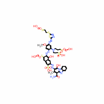 COc1cc(N=Nc2c(SOOO)cc3cc(S(=O)(=O)O)c(N=Nc4c(C)c(C(N)=O)c5nc6ccccc6n5c4O)cc3c2O)c(N(CCCSOOO)CCCS(=O)(=O)O)cc1N=Nc1nnc(SCCSOOO)s1